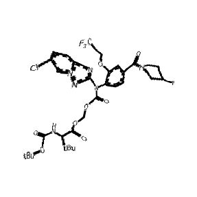 CC(C)(C)OC(=O)NC(C(=O)OCOC(=O)N(c1nc2ccc(Cl)cn2n1)c1ccc(C(=O)N2CC(F)C2)cc1OCC(F)(F)F)C(C)(C)C